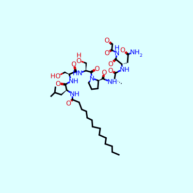 CCCCCCCCCCCCCC(=O)N[C@@H](CC(C)C)C(=O)N[C@@H](CO)C(=O)N[C@@H](CO)C(=O)N1CCC[C@@H]1C(=O)N[C@@H](C)C(=O)N[C@@H](CC(N)=O)C(=O)NC(=O)C=O